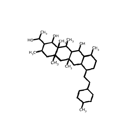 CC1CCC(CCC2CCC(C)C3C(O)C4C(C)C5(C)C(O)C(C(C)O)C(C)CC5(C)CC4(C)CC23)CC1